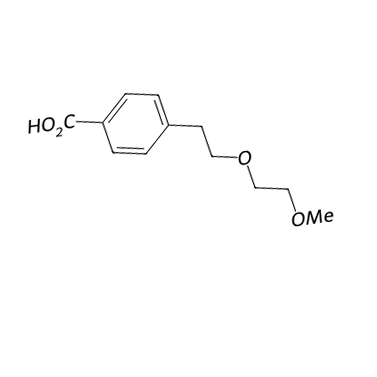 COCCOCCc1ccc(C(=O)O)cc1